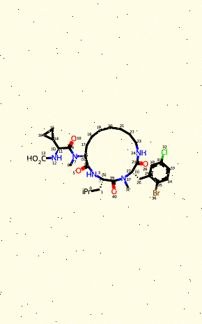 CC(C)C[C@@H]1NC(=O)[C@@H](N(C)C(=O)[C@@H](NC(=O)O)C2CC2)CCCCCCCNC(=O)[C@H](Cc2cc(Cl)ccc2Br)N(C)C1=O